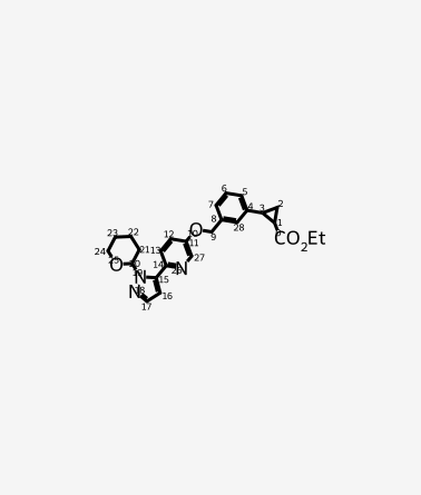 CCOC(=O)C1CC1c1cccc(COc2ccc(-c3ccnn3C3CCCCO3)nc2)c1